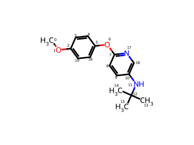 COc1ccc(Oc2ccc(NC(C)(C)C)cn2)cc1